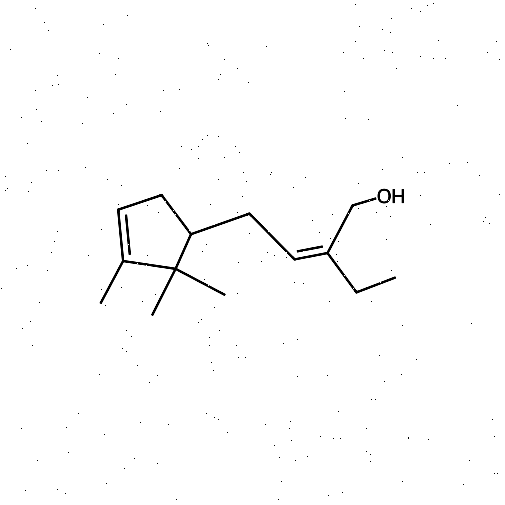 CCC(=CCC1CC=C(C)C1(C)C)CO